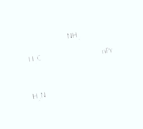 CCCCC(N)C(C)CN